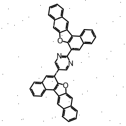 c1ccc2cc3c(cc2c1)oc1c(-c2cnc(-c4cc5ccccc5c5c4oc4cc6ccccc6cc45)nc2)cc2ccccc2c13